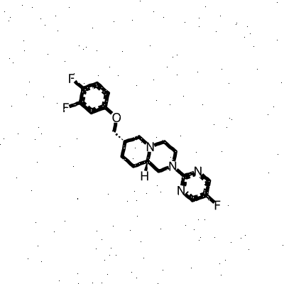 Fc1cnc(N2CCN3C[C@@H](COc4ccc(F)c(F)c4)CC[C@H]3C2)nc1